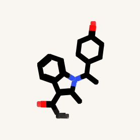 COC(=O)c1c(C)n(C(C)C2CCC(=O)CC2)c2ccccc12